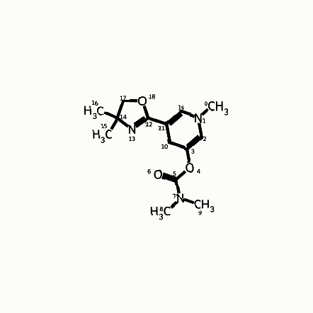 CN1C=C(OC(=O)N(C)C)CC(C2=NC(C)(C)CO2)=C1